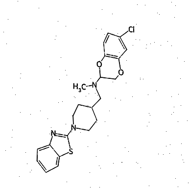 CN(CC1CCN(c2nc3ccccc3s2)CC1)C1COc2cc(Cl)ccc2O1